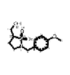 COc1ccc(CN2CCC(CO)S2(=O)=O)cc1